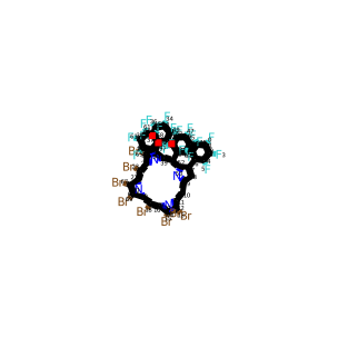 Fc1c(F)c(F)c(C2=Cc3cc4c(Br)c(Br)c(c(Br)c5nc(c(Br)c6c(Br)c(-c7c(F)c(F)c(F)c(F)c7F)c(c(-c7c(F)c(F)c(F)c(F)c7F)c2n3)n6-c2c(F)c(F)c(F)c(F)c2F)C(Br)=C5Br)n4Br)c(F)c1F